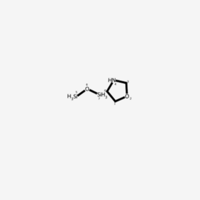 C1COCN1.[SiH3]O[SiH3]